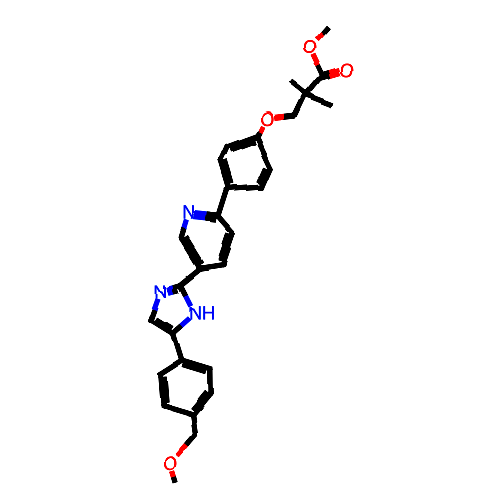 COCc1ccc(-c2cnc(-c3ccc(-c4ccc(OCC(C)(C)C(=O)OC)cc4)nc3)[nH]2)cc1